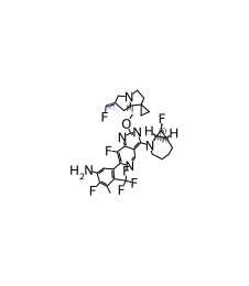 Cc1c(F)c(N)cc(-c2ncc3c(N4CCCC[C@H]5[C@H](F)[C@H]54)nc(OC[C@]45C/C(=C\F)CN4CCC54CC4)nc3c2F)c1C(F)(F)F